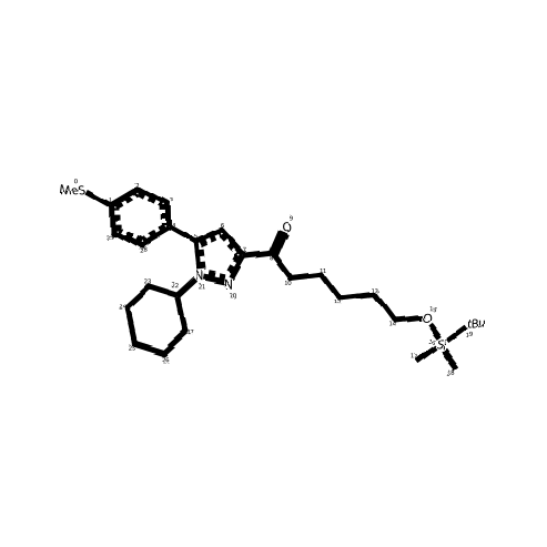 CSc1ccc(-c2cc(C(=O)CCCCCO[Si](C)(C)C(C)(C)C)nn2C2CCCCC2)cc1